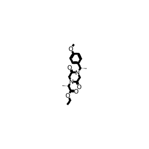 CCOC(=O)[C@H](C)N1CC(=O)N([C@@H](C)c2ccc(OC)cc2)CC1=O